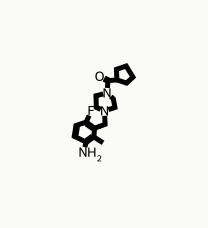 Cc1c(N)ccc(F)c1CN1CCN(C(=O)C2CCCC2)CC1